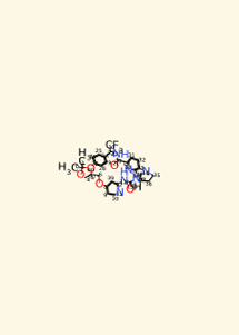 CC1(C)OC[C@H](COc2ccnc(NC(=O)N3c4nc(C(=O)NC(c5ccccc5)C(F)(F)F)ccc4N4CC[C@H]3C4)c2)O1